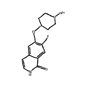 CCCN1CCC(Oc2cc3cc[nH]c(=O)c3cc2F)CC1